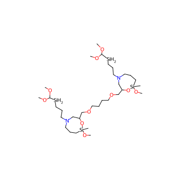 COC(OC)[SiH2]CCCN1CCC[Si](C)(OC)OC(COCCCCOCC2CN(CCC[SiH2]C(OC)OC)CCC[Si](C)(OC)O2)C1